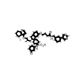 C[C@@H](COc1ccnc2c1[C@H](C)CCC2)C[C@H]1Cc2ccc(OCCCC(=O)NCc3cccc(-c4cncnc4)c3)cc2C12CCC(Nc1cccc(Cl)c1)(C(=O)O)CC2